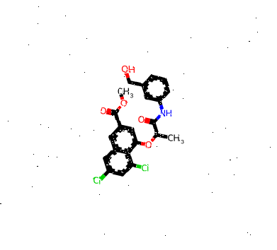 COC(=O)c1cc(OC(C)C(=O)Nc2cccc(CO)c2)c2c(Cl)cc(Cl)cc2c1